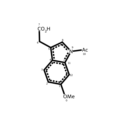 COc1ccc2c(CC(=O)O)cn(C(C)=O)c2c1